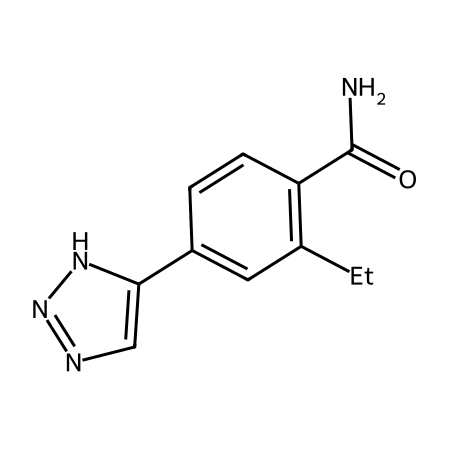 CCc1cc(-c2cnn[nH]2)ccc1C(N)=O